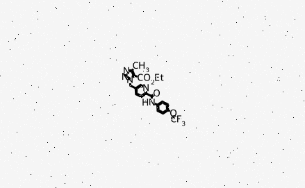 CCOC(=O)c1c(C)nnn1Cc1ccc(C(=O)Nc2ccc(OC(F)(F)F)cc2)nc1